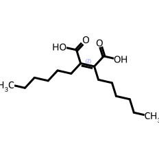 CCCCCC/C(C(=O)O)=C(\CCCCCC)C(=O)O